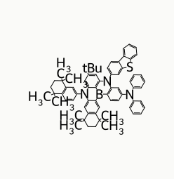 CC(C)(C)c1cc2c3c(c1)N(c1ccc4c(c1)C(C)(C)CCC4(C)C)c1cc4c(cc1B3c1ccc(N(c3ccccc3)c3ccccc3)cc1N2c1ccc2c(c1)sc1ccccc12)C(C)(C)CCC4(C)C